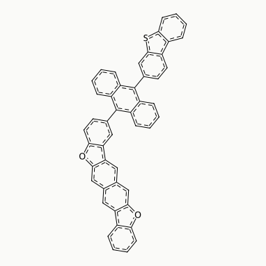 c1ccc2c(c1)oc1cc3cc4c(cc3cc12)oc1ccc(-c2c3ccccc3c(-c3ccc5c(c3)sc3ccccc35)c3ccccc23)cc14